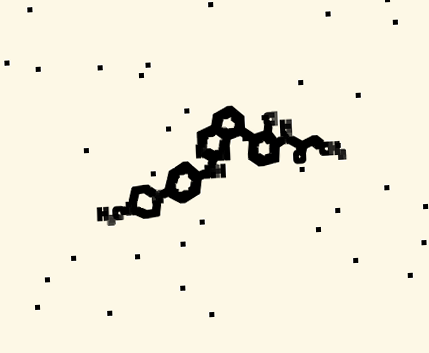 C=CC(=O)Nc1cccc(-c2cccc3cnc(Nc4ccc(N5CCN(C)CC5)cc4)nc23)c1Cl